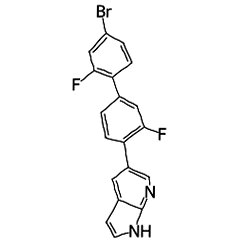 Fc1cc(Br)ccc1-c1ccc(-c2cnc3[nH]ccc3c2)c(F)c1